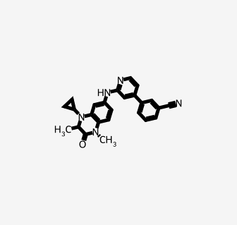 CC1C(=O)N(C)c2ccc(Nc3cc(-c4cccc(C#N)c4)ccn3)cc2N1C1CC1